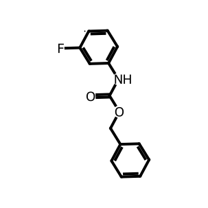 O=C(Nc1cc[c]c(F)c1)OCc1ccccc1